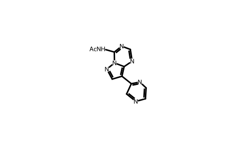 CC(=O)Nc1ncnc2c(-c3cnccn3)cnn12